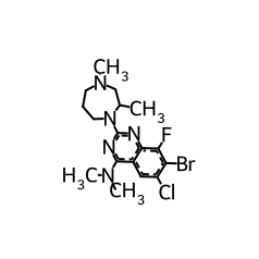 CC1CN(C)CCCN1c1nc(N(C)C)c2cc(Cl)c(Br)c(F)c2n1